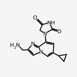 NCc1cn2cc(C3CC3)cc(N3CC(=O)NC3=O)c2n1